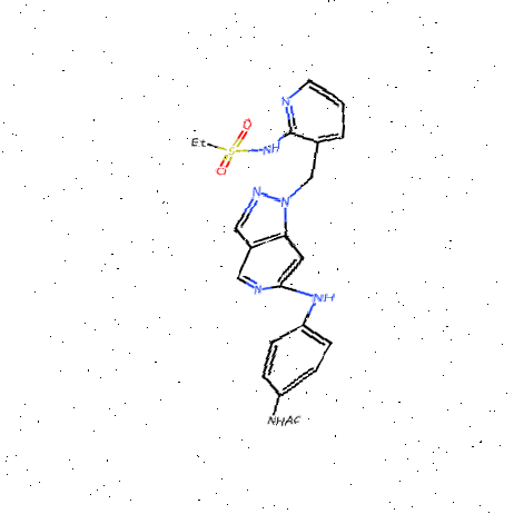 CCS(=O)(=O)Nc1ncccc1Cn1ncc2cnc(Nc3ccc(NC(C)=O)cc3)cc21